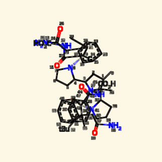 CC1CC(C2CCCN2[C@@]2(C(=O)NC(=O)O)Cc3ccc(cc3)C2(C)CC(N)=O)N(c2ccc(C(C)(C)C)cc2)C1(C)C1CCCN1[C@@]1(C(=O)NC(=O)O)Cc2ccc(cc2)C1(C)CC(N)=O